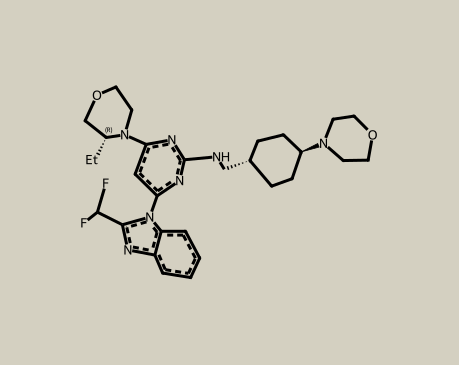 CC[C@@H]1COCCN1c1cc(-n2c(C(F)F)nc3ccccc32)nc(NC[C@H]2CC[C@H](N3CCOCC3)CC2)n1